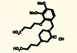 COc1ccc(CN2CCN(CCCC(=O)O)CC2)c(OCCCC(=O)O)c1OC.Cl.Cl